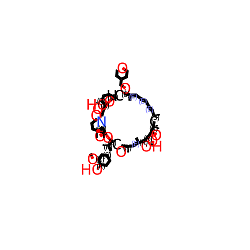 CO[C@@H]1C[C@H](C[C@@H](C)[C@@H]2CC(=O)[C@H](C)/C=C(\C)[C@@H](O)[C@@H](OC)C(=O)[C@H](C)C[C@H](C)/C=C/C=C/C=C(\C)[C@@H](OCC3CCOCC3)C[C@@H]3CC[C@@H](C)[C@@](O)(O3)C(=O)C(=O)N3CCCC[C@H]3C(=O)O2)CC[C@H]1O